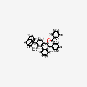 CCc1c(C23CC4CC(CC(C4)C2)C3)ccc([C](Cc2ccccc2)OCc2ccccc2)c1-c1ccccc1